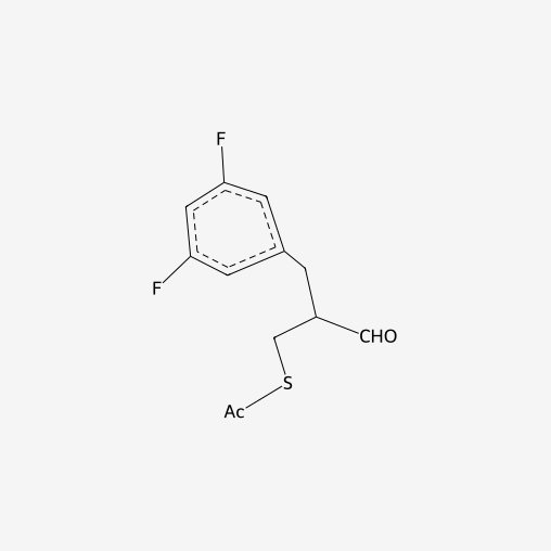 CC(=O)SCC(C=O)Cc1cc(F)cc(F)c1